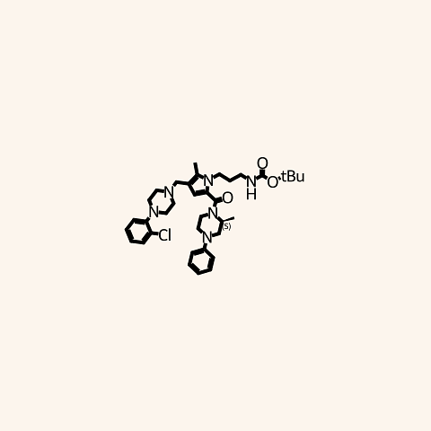 Cc1c(CN2CCN(c3ccccc3Cl)CC2)cc(C(=O)N2CCN(c3ccccc3)C[C@@H]2C)n1CCCNC(=O)OC(C)(C)C